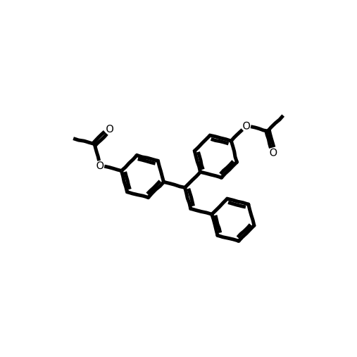 CC(=O)Oc1ccc(C(=Cc2ccccc2)c2ccc(OC(C)=O)cc2)cc1